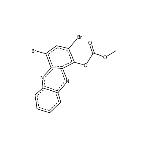 COC(=O)Oc1c(Br)cc(Br)c2nc3ccccc3nc12